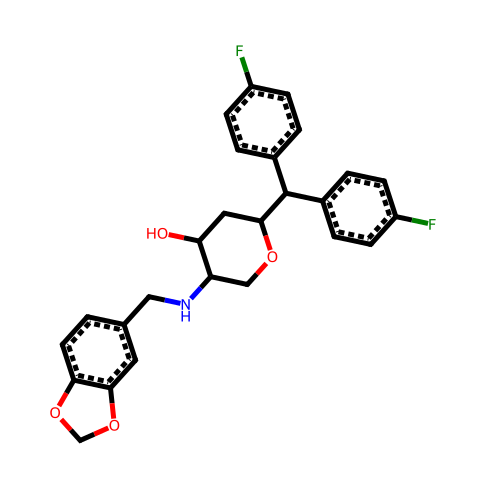 OC1CC(C(c2ccc(F)cc2)c2ccc(F)cc2)OCC1NCc1ccc2c(c1)OCO2